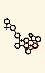 CC1(C)c2ccccc2-c2ccc(-c3ccc(N(c4ccc5c(c4)-n4c6ccccc6c6cccc(c64)C54c5ccccc5-c5ccccc54)c4ccccc4-c4ccc(-c5ccccc5)cc4)cc3)cc21